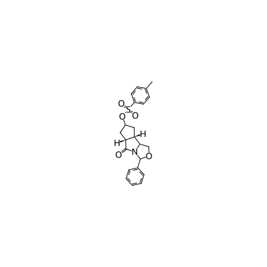 Cc1ccc(S(=O)(=O)OC2C[C@@H]3C4COC(c5ccccc5)N4C(=O)[C@@H]3C2)cc1